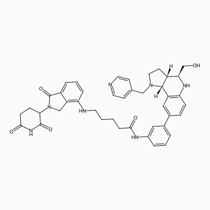 O=C1CCC(N2Cc3c(NCCCCC(=O)Nc4cccc(-c5ccc6c(c5)[C@H]5[C@H](CCN5Cc5ccncc5)[C@@H](CO)N6)c4)cccc3C2=O)C(=O)N1